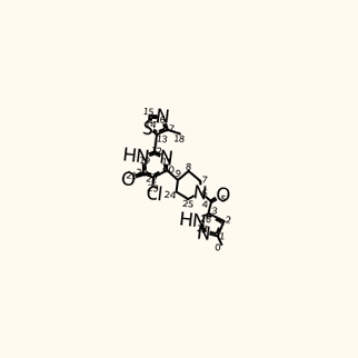 Cc1cc(C(=O)N2CCC(c3nc(-c4scnc4C)[nH]c(=O)c3Cl)CC2)[nH]n1